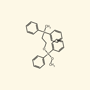 CO[Si](OCC[Si](C)(c1ccccc1)c1ccccc1)(c1ccccc1)c1ccccc1